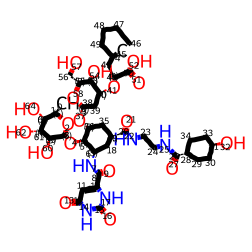 C[C@@H]1O[C@@H](O[C@@H]2[C@@H](NC(=O)c3cc(=O)[nH]c(=O)[nH]3)C[C@@H](C(=O)NCCNC(=O)[C@H]3CC[C@H](O)CC3)C[C@H]2O[C@H]2C[C@@H](O[C@@H](CC3CCCCC3)C(=O)O)[C@@H](O)[C@@H](CO)O2)[C@@H](O)[C@H](O)[C@@H]1O